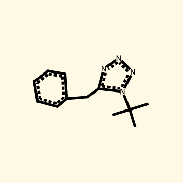 CC(C)(C)n1nnnc1Cc1ccccc1